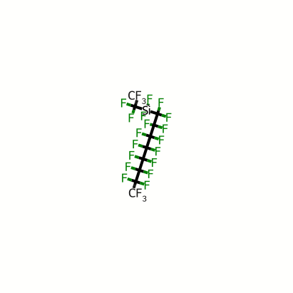 FC(F)(F)C(F)(F)C(F)(F)C(F)(F)C(F)(F)C(F)(F)C(F)(F)C(F)(F)[Si](F)(F)C(F)(F)C(F)(F)F